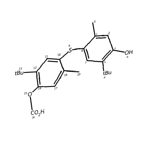 Cc1cc(O)c(C(C)(C)C)cc1Sc1cc(C(C)(C)C)c(OC(=O)O)cc1C